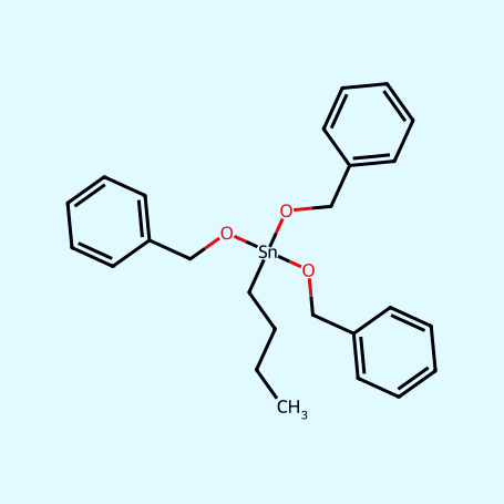 CCC[CH2][Sn]([O]Cc1ccccc1)([O]Cc1ccccc1)[O]Cc1ccccc1